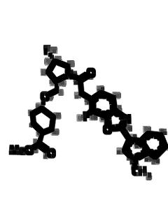 COC(=O)[C@H]1CC[C@H](OC[C@@H]2C[C@H](F)CN2C(=O)Cc2ccc3nc(-c4cn(C)c5ccccc45)oc3c2F)CC1